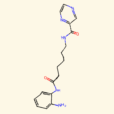 Nc1ccccc1NC(=O)CCCCCNC(=O)c1cnccn1